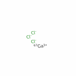 [67Ga+3].[Cl-].[Cl-].[Cl-]